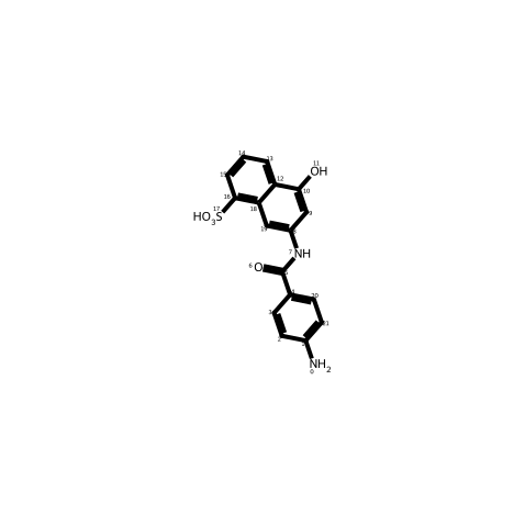 Nc1ccc(C(=O)Nc2cc(O)c3cccc(S(=O)(=O)O)c3c2)cc1